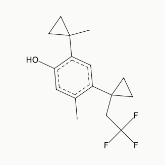 Cc1cc(O)c(C2(C)CC2)cc1C1(CC(F)(F)F)CC1